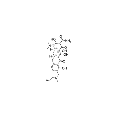 C=CCN(C)Cc1ccc2c(c1O)C(=O)C1=C(O)[C@]3(O)C(=O)C(C(N)=O)=C(O)[C@@H](N(C)C)[C@@H]3C[C@@H]1C2